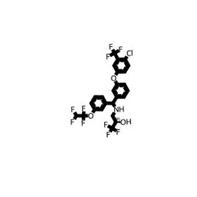 O[C@H](CNC(c1cccc(Oc2ccc(Cl)c(C(F)(F)F)c2)c1)c1cccc(OC(F)(F)C(F)F)c1)C(F)(F)F